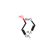 C=CCO.C=COC